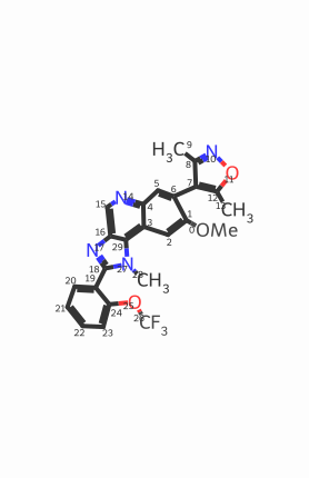 COc1cc2c(cc1-c1c(C)noc1C)ncc1nc(-c3ccccc3OC(F)(F)F)n(C)c12